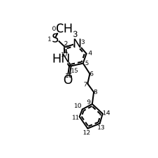 CSc1ncc(CCCc2ccccc2)c(=O)[nH]1